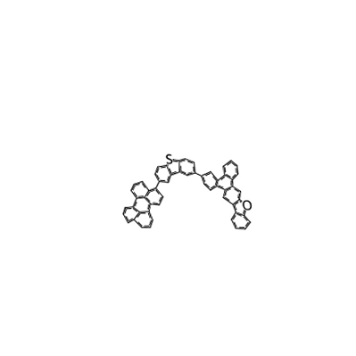 c1ccc2c(c1)oc1cc3c4ccccc4c4cc(-c5ccc6sc7ccc(-c8ccc9c%10cccc%11cccc(c%12cccc8c%129)c%11%10)cc7c6c5)ccc4c3cc12